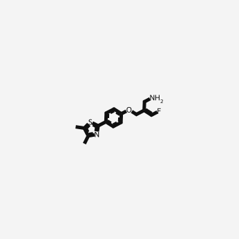 Cc1nc(-c2ccc(OC/C(=C/F)CN)cc2)sc1C